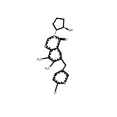 Cc1c(Cc2ccc(Cl)nc2)cc2c(=O)n([C@@H]3CCC[C@H]3O)cnc2c1C